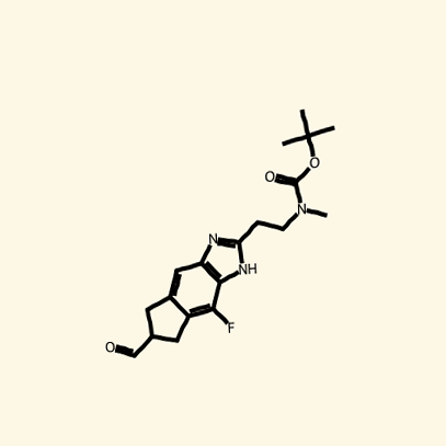 CN(CCc1nc2cc3c(c(F)c2[nH]1)CC(C=O)C3)C(=O)OC(C)(C)C